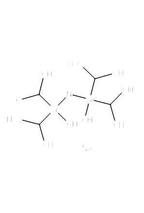 CC(C)[Si](C)([N-][Si](C)(C(C)C)C(C)C)C(C)C.[Na+]